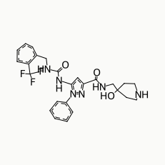 O=C(NCc1ccccc1C(F)(F)F)Nc1cc(C(=O)NCC2(O)CCNCC2)nn1-c1ccccc1